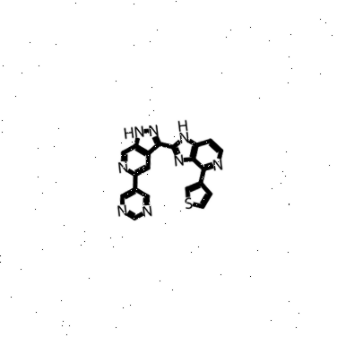 c1ncc(-c2cc3c(-c4nc5c(-c6ccsc6)nccc5[nH]4)n[nH]c3cn2)cn1